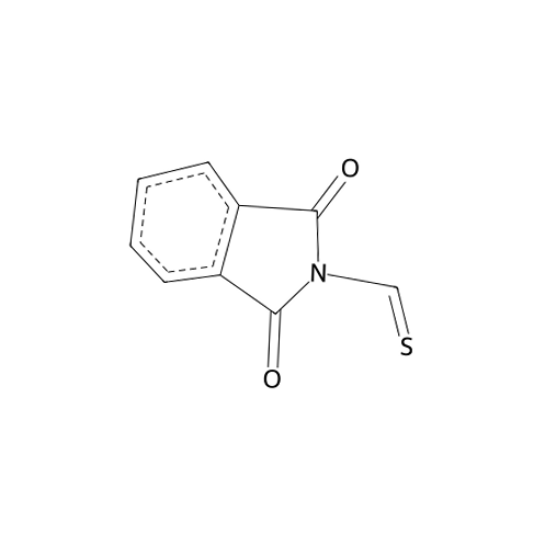 O=C1c2ccccc2C(=O)N1C=S